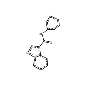 O=C(Nc1ccccc1)c1cnn2ccccc12